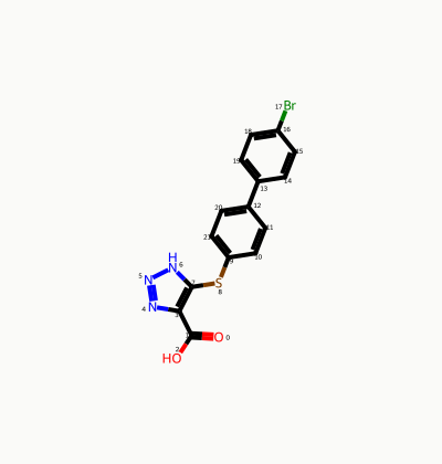 O=C(O)c1nn[nH]c1Sc1ccc(-c2ccc(Br)cc2)cc1